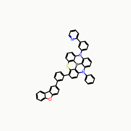 c1ccc(N2c3cccc4c3B3c5c(cccc5N4c4cccc(-c5ccccn5)c4)Sc4c(-c5cccc(-c6ccc7oc8ccccc8c7c6)c5)ccc2c43)cc1